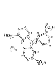 O=C(O)c1ccc[c]([Gd]([c]2cccc(C(=O)O)n2)[c]2cccc(C(=O)O)n2)n1.P